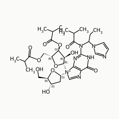 CCC(N(C(=O)C(C)C)c1nc2c(c(=O)[nH]1)N=C[N+]2([C@@H]1C[C@H](O)[C@@H](CO)O1)[C@@H]1O[C@H](COC(=O)C(C)C)[C@@H](OC(=O)C(C)C)[C@H]1O)n1ccnc1